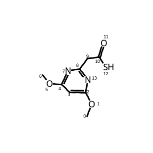 COc1cc(OC)nc(CC(=O)S)n1